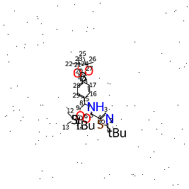 CC(C)(C)c1ncc(C(=O)NC(CO[Si](C)(C)C(C)(C)C)c2ccc(B3OC(C)(C)C(C)(C)O3)cc2)s1